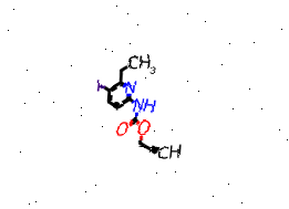 C#CCOC(=O)Nc1ccc(I)c(CC)n1